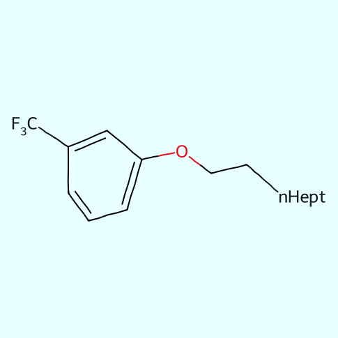 CCCCCCCCCOc1cccc(C(F)(F)F)c1